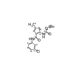 Cc1cc(C(=O)Nc2cccc(Cl)c2)c(NC(=O)OC(C)(C)C)s1